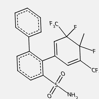 CC1(F)C(C(F)(F)F)=CC(c2c(-c3ccccc3)cccc2S(N)(=O)=O)=CC1(F)C(F)(F)F